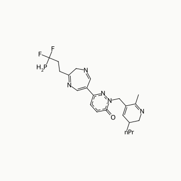 CCCC1C=C(Cn2nc(C3=CN=C(CCC(F)(F)P)CN=C3)ccc2=O)C(C)=NC1